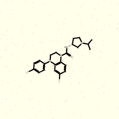 CC(C)N1CC[C@@H](NC(=O)N2CCN(c3ccc(F)cc3)c3cc(F)ccc32)C1